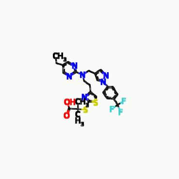 CCc1cnc(N(CCc2csc(SC(C)(C)C(=O)O)n2)Cc2cnn(-c3ccc(C(F)(F)F)cc3)c2)nc1